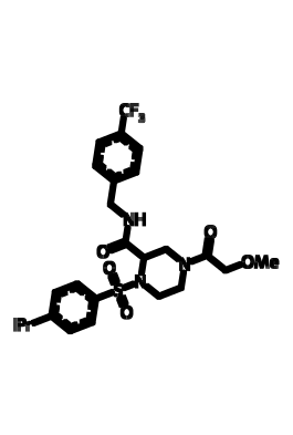 COCC(=O)N1CCN(S(=O)(=O)c2ccc(C(C)C)cc2)C(C(=O)NCc2ccc(C(F)(F)F)cc2)C1